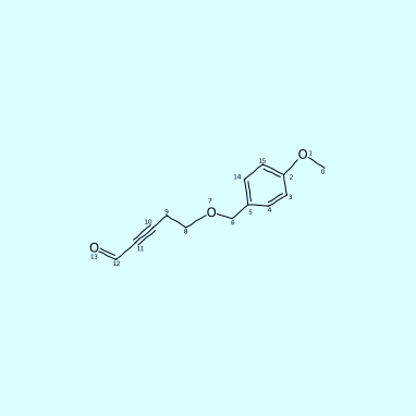 COc1ccc(COCCC#CC=O)cc1